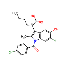 CCCC[C@H](C(=O)O)c1c(C)n(C(=O)c2ccc(Cl)cc2)c2cc(F)c(O)cc12